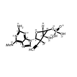 C#C[C@]1(F)[C@H](n2cnc3c(NC)nc(N)nc32)O[C@@H]2C(OP(=O)(O)O)[C@@]21O